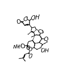 COC(=O)CC1C2(C)C3=C(C)C(C4=CC(=O)OC4O)CC3OC2C2OCC3(C)C(O)CC(OC(=O)C=C(C)C)C1(C)C23